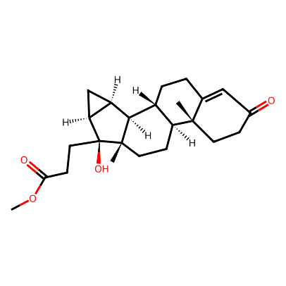 COC(=O)CC[C@]1(O)[C@H]2C[C@H]2[C@H]2[C@@H]3CCC4=CC(=O)CC[C@]4(C)[C@H]3CC[C@@]21C